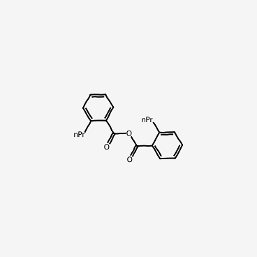 CCCc1ccccc1C(=O)OC(=O)c1ccccc1CCC